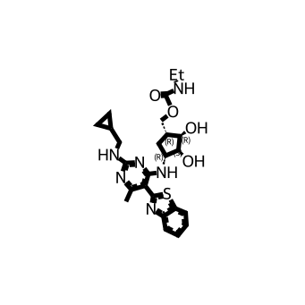 CCNC(=O)OC[C@H]1C[C@@H](Nc2nc(NCC3CC3)nc(C)c2-c2nc3ccccc3s2)[C@H](O)[C@@H]1O